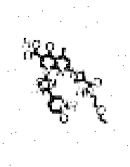 CCOCCNC(=O)C1CN(c2cc(C)c3c(=O)c(C(=O)O)cn(-c4nc(-c5ccc(=O)[nH]c5)ns4)c3n2)C1